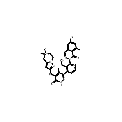 Cc1c(-c2ccnc(-n3ncc4cc(C(C)(C)C)cc(F)c4c3=O)c2CO)n[nH]c(=O)c1Nc1cc2n(n1)CC[N+](C)([O-])C2